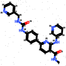 CNC(=O)c1ccc(-c2ccc(NC(=O)NCc3cccnc3)cc2)nc1Nc1cccnc1